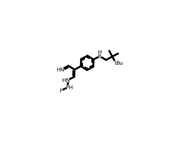 CC(C)(C)C(C)(C)CBc1ccc(/C(C=N)=C/NPF)cc1